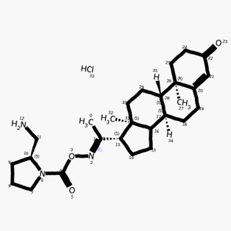 C/C(=N\OC(=O)N1CCC[C@H]1CN)[C@H]1CCC2[C@@H]3CCC4=CC(=O)CC[C@]4(C)[C@H]3CC[C@@]21C.Cl